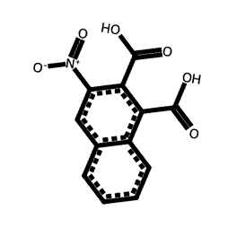 O=C(O)c1c([N+](=O)[O-])cc2ccccc2c1C(=O)O